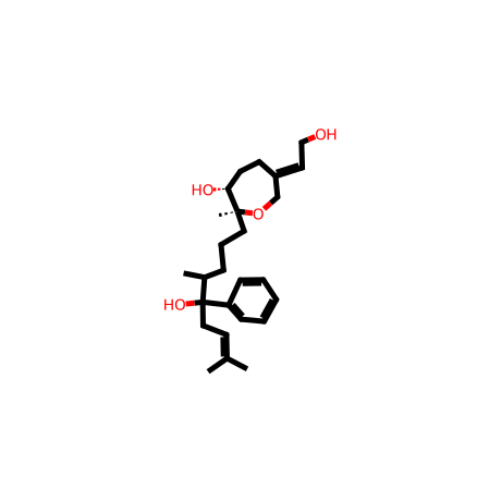 CC(C)=CCC(O)(c1ccccc1)C(C)CCC[C@]1(C)OCC(=CCO)CC[C@H]1O